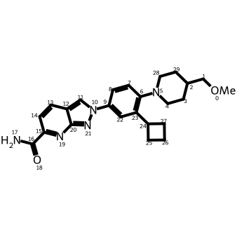 COCC1CCN(c2ccc(-n3cc4ccc(C(N)=O)nc4n3)cc2C2CCC2)CC1